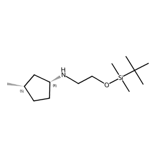 C[C@H]1CC[C@@H](NCCO[Si](C)(C)C(C)(C)C)C1